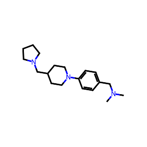 CN(C)Cc1ccc(N2CCC(CN3CCCC3)CC2)cc1